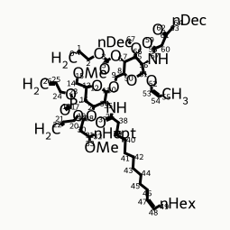 C=CCOC(=O)O[C@@H]1C(COC2OC(COC)[C@@H](P(=O)(OCC=C)OCC=C)C(OCCC(CCCCCCC)OC)[C@H]2NC(=O)CCCCCCCCC/C=C\CCCCCC)O[C@H](O/C=C\C)[C@H](NC(=O)CC(=O)CCCCCCCCCCC)C1OCCCCCCCCCC